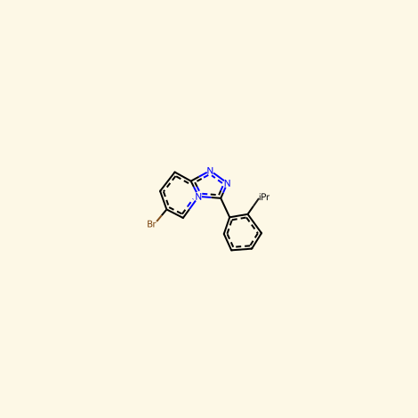 CC(C)c1ccccc1-c1nnc2ccc(Br)cn12